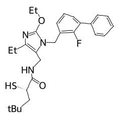 CCOc1nc(CC)c(CNC(=O)[C@@H](S)CC(C)(C)C)n1Cc1cccc(-c2ccccc2)c1F